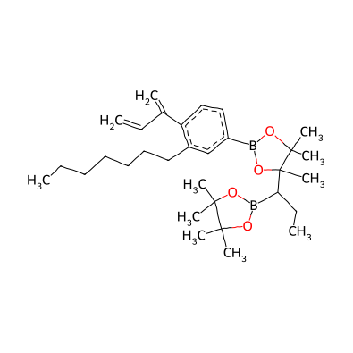 C=CC(=C)c1ccc(B2OC(C)(C)C(C)(C(CC)B3OC(C)(C)C(C)(C)O3)O2)cc1CCCCCCC